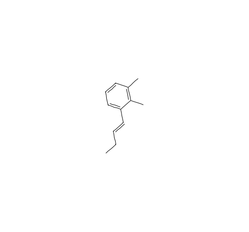 CCC=Cc1cccc(C)c1C